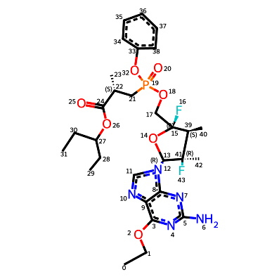 CCOc1nc(N)nc2c1ncn2[C@@H]1O[C@](F)(COP(=O)(C[C@@H](C)C(=O)OC(CC)CC)Oc2ccccc2)[C@@H](C)[C@@]1(C)F